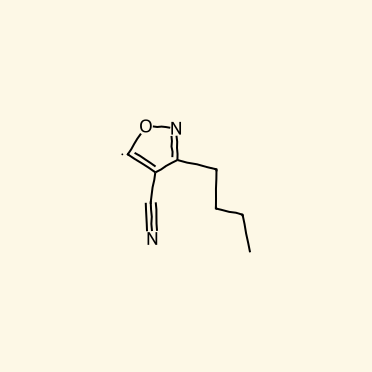 CCCCc1no[c]c1C#N